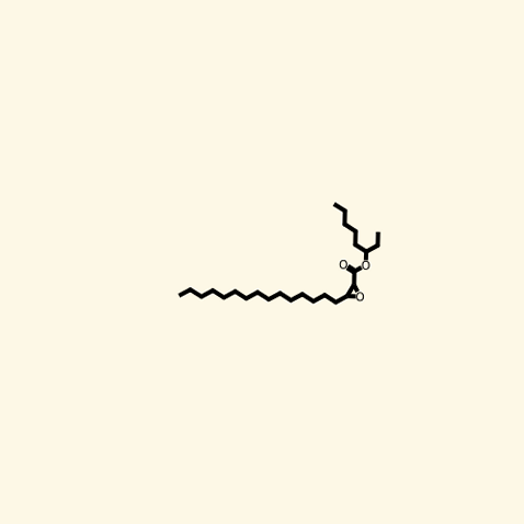 CCCCCCCCCCCCCCCC1OC1C(=O)OC(CC)CCCCC